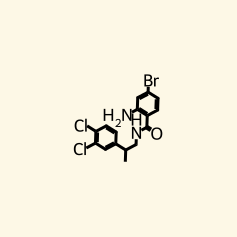 CC(CNC(=O)c1ccc(Br)cc1N)c1ccc(Cl)c(Cl)c1